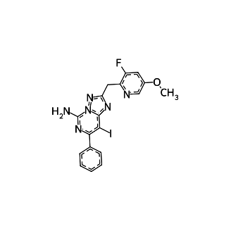 COc1cnc(Cc2nc3c(I)c(-c4ccccc4)nc(N)n3n2)c(F)c1